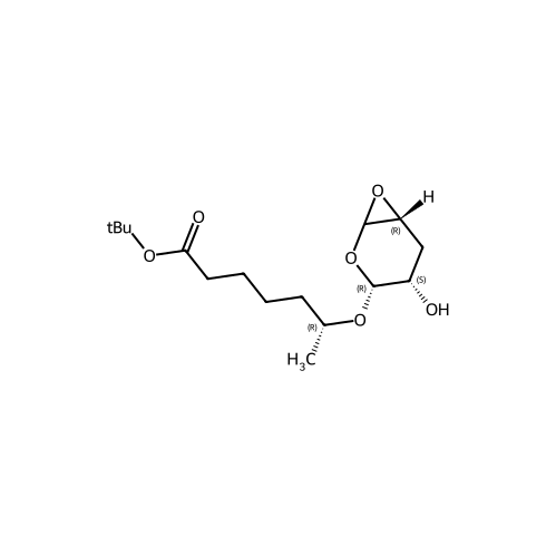 C[C@H](CCCCC(=O)OC(C)(C)C)O[C@@H]1OC2O[C@@H]2C[C@@H]1O